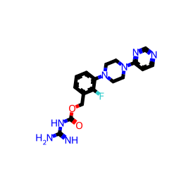 N=C(N)NC(=O)OCc1cccc(N2CCN(c3ccncn3)CC2)c1F